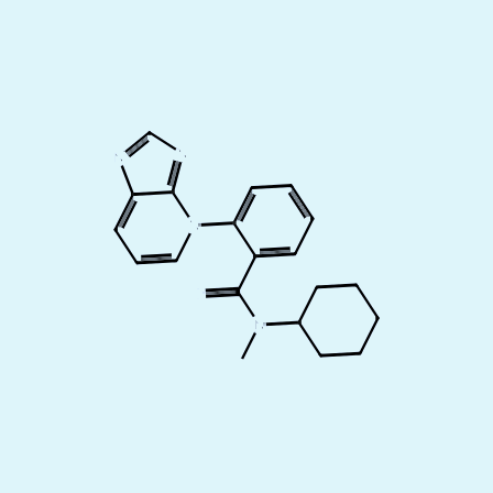 CN(C(=O)c1ccccc1-n1cccc2ncnc1-2)C1CCCCC1